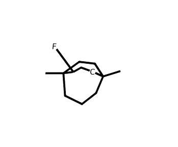 CC12CCCC(C)(CC1)C(F)CC2